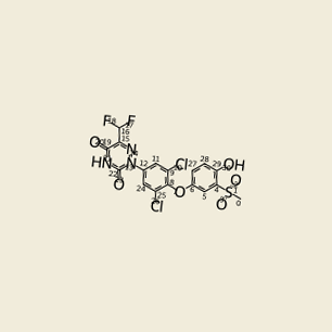 CS(=O)(=O)c1cc(Oc2c(Cl)cc(-n3nc(C(F)F)c(=O)[nH]c3=O)cc2Cl)ccc1O